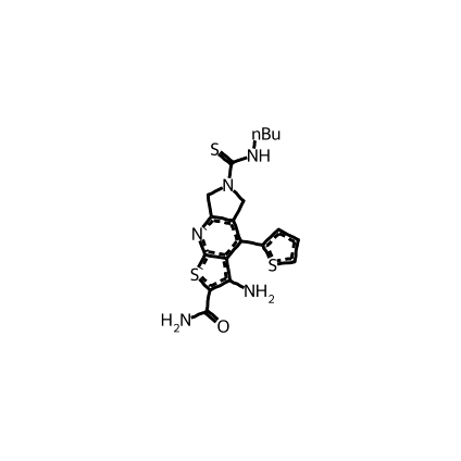 CCCCNC(=S)N1Cc2nc3sc(C(N)=O)c(N)c3c(-c3cccs3)c2C1